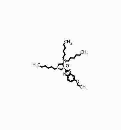 CCCCCCN1CC(N(CCCCCC)CCCCCC)[N+]([O-])(c2nc3ccc(OCC)cc3s2)C1